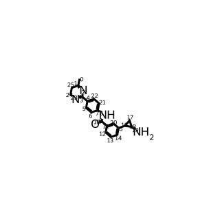 CC1=NC(c2ccc(NC(=O)c3cccc(C4CC4N)c3)cc2)=NCC1